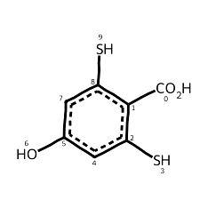 O=C(O)c1c(S)cc(O)cc1S